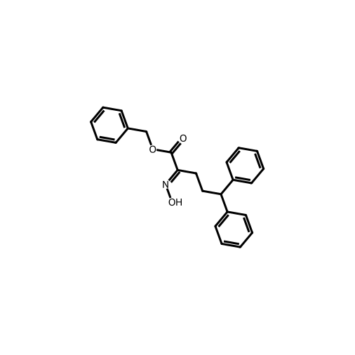 O=C(OCc1ccccc1)C(CCC(c1ccccc1)c1ccccc1)=NO